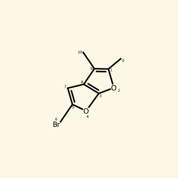 Cc1oc2oc(Br)cc2c1C